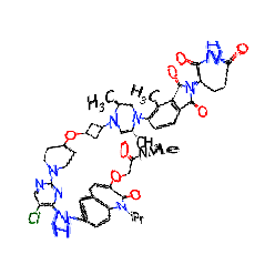 CNC(=O)COc1cc2cc(Nc3nc(N4CCC(OC5CC(N6C[C@@H](C)N(c7ccc8c(c7C)C(=O)N([C@@H]7CCC(=O)NC7=O)C8=O)C[C@@H]6C)C5)CC4)ncc3Cl)ccc2n(C(C)C)c1=O